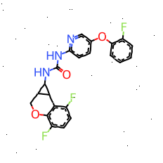 O=C(Nc1ccc(Oc2ccccc2F)cn1)NC1C2COc3c(F)ccc(F)c3C21